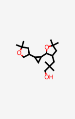 CC(C)(CO)CC1CC(C)(C)OC1C1CC1C1COC(C)(C)C1